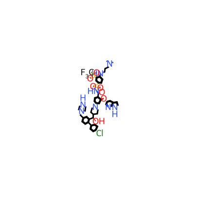 CN(C)CCCNc1ccc(S(=O)(=O)NC(=O)c2ccc(N3CCC([C@@H](O)c4cc(CN5CCNCC5)ccc4-c4ccc(Cl)cc4)CC3)cc2Oc2cnc3[nH]ccc3c2)cc1S(=O)(=O)C(F)(F)F